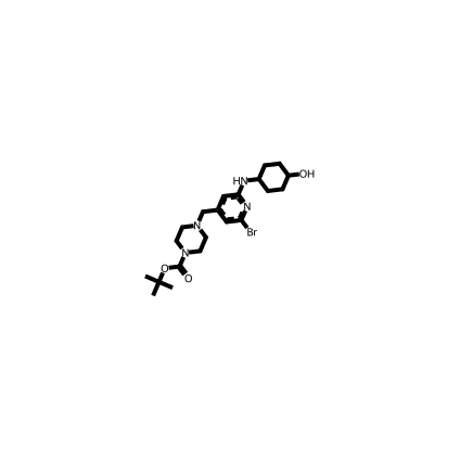 CC(C)(C)OC(=O)N1CCN(Cc2cc(Br)nc(NC3CCC(O)CC3)c2)CC1